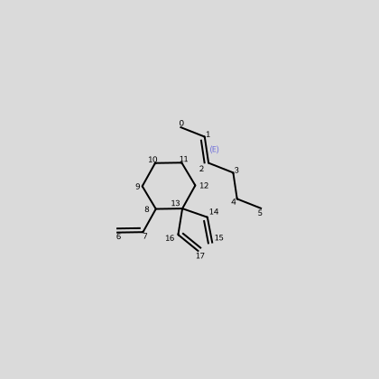 C/C=C/CCC.C=CC1CCCCC1(C=C)C=C